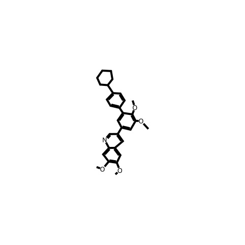 COc1cc2cc(-c3cc(OC)c(OC)c(-c4ccc(C5CCCCC5)cc4)c3)cnc2cc1OC